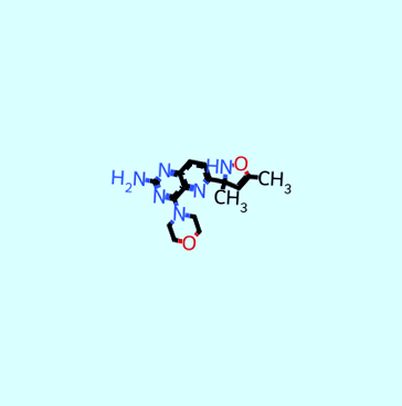 CC1=CC(C)(c2ccc3nc(N)nc(N4CCOCC4)c3n2)NO1